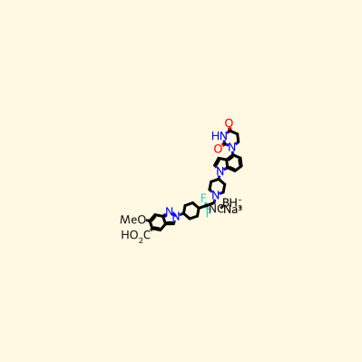 COc1cc2nn(C3CCC(C(F)(F)CN4CCC(n5ccc6c(N7CCC(=O)NC7=O)cccc65)CC4)CC3)cc2cc1C(=O)O.[BH3-]C#N.[Na+]